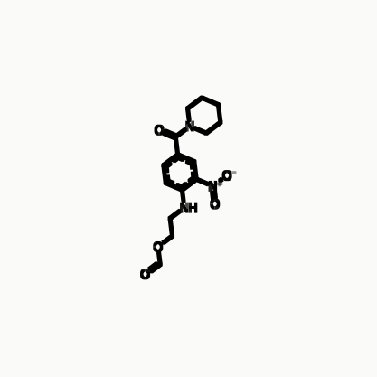 O=COCCNc1ccc(C(=O)N2CCCCC2)cc1[N+](=O)[O-]